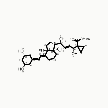 CCCCCCC(=O)C1([C@H](O)/C=C/[C@@H](C)[C@H]2CC[C@H]3/C(=C/C=C4C[C@@H](O)C[C@H](O)C4)CCC[C@]23C)CC1